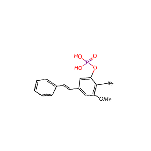 COc1cc(/C=C/c2ccccc2)cc(OP(=O)(O)O)c1C(C)C